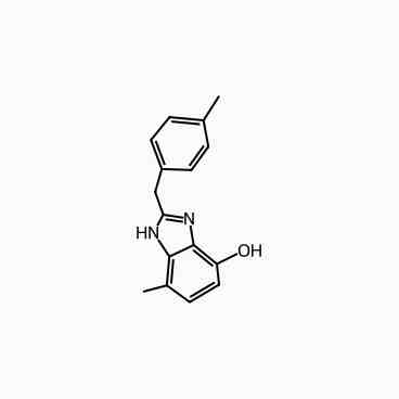 Cc1ccc(Cc2nc3c(O)ccc(C)c3[nH]2)cc1